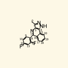 Cc1n[nH]c2c1nc(-c1ccc(F)cc1F)c1ccccc12